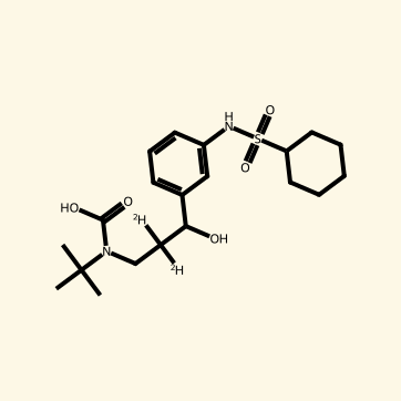 [2H]C([2H])(CN(C(=O)O)C(C)(C)C)C(O)c1cccc(NS(=O)(=O)C2CCCCC2)c1